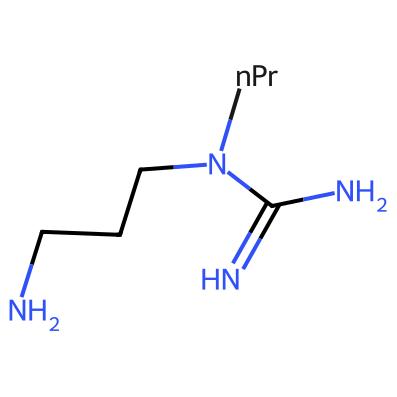 CCCN(CCCN)C(=N)N